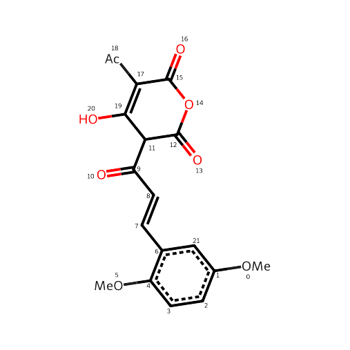 COc1ccc(OC)c(/C=C/C(=O)C2C(=O)OC(=O)C(C(C)=O)=C2O)c1